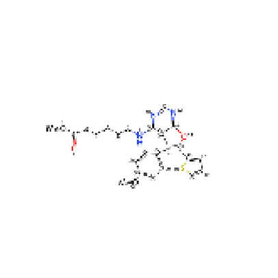 COC(=O)CCCCCNc1ncnc2oc(-c3cccs3)c(-c3ccc(OC)cc3)c12